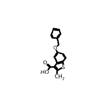 Cc1sc2ccc(OCc3ccccc3)cc2c1C(=O)O